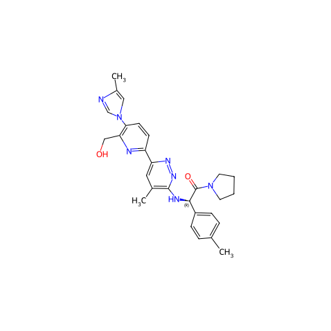 Cc1ccc([C@@H](Nc2nnc(-c3ccc(-n4cnc(C)c4)c(CO)n3)cc2C)C(=O)N2CCCC2)cc1